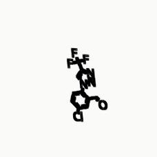 O=Cc1cc(Cl)ccc1-n1cc(C(F)(F)F)nn1